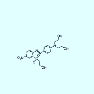 O=[N+]([O-])c1ccc(/N=N/c2ccc(N(CCO)CCO)cc2)c(S(=O)(=O)CCO)c1